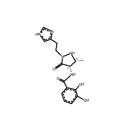 C[C@H]1NN(CCc2c[nH]cn2)C(=O)[C@H]1NC(=O)c1cccc(O)c1O